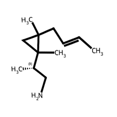 CC=CCC1(C)CC1(C)[C@@H](C)CN